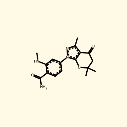 CNc1cc(-n2nc(C)c3c2OC(C)(C)CC3=O)ccc1C(N)=O